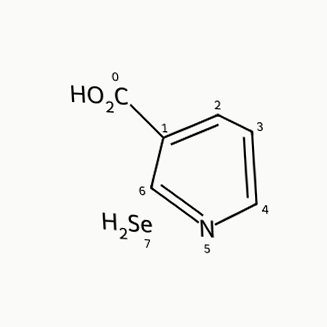 O=C(O)c1cccnc1.[SeH2]